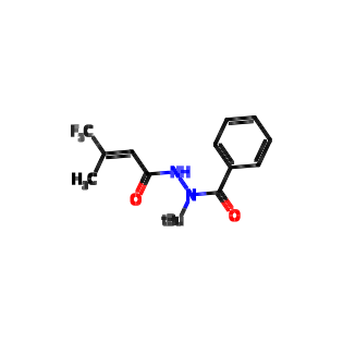 CC(=CC(=O)NN(C(=O)c1ccccc1)C(C)(C)C)C(F)(F)F